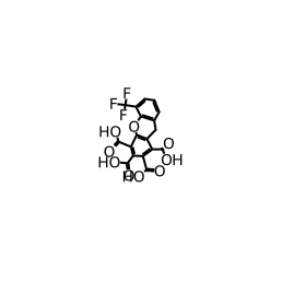 O=C(O)c1c2c(c(C(=O)O)c(C(=O)O)c1C(=O)O)Oc1c(cccc1C(F)(F)F)C2